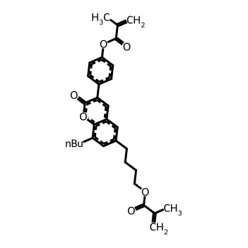 C=C(C)C(=O)OCCCCc1cc(CCCC)c2oc(=O)c(-c3ccc(OC(=O)C(=C)C)cc3)cc2c1